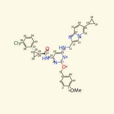 COc1ccc(COc2nc(NCc3cn4cc(C5CC5)ccc4n3)cc(NC(=O)[C@H]3C[C@@H]3c3cccc(Cl)c3)n2)cc1